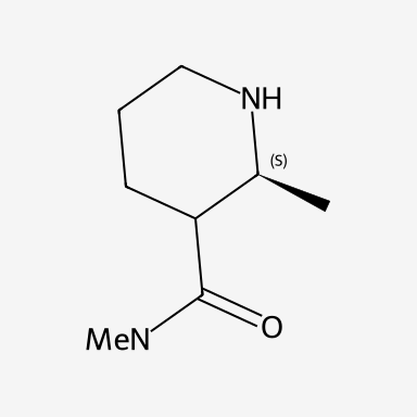 CNC(=O)C1CCCN[C@H]1C